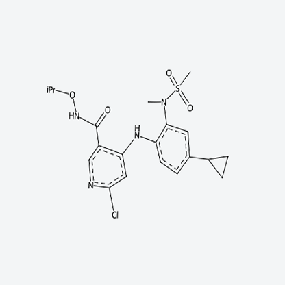 CC(C)ONC(=O)c1cnc(Cl)cc1Nc1ccc(C2CC2)cc1N(C)S(C)(=O)=O